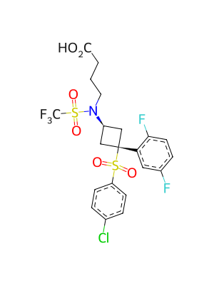 O=C(O)CCCN([C@H]1C[C@](c2cc(F)ccc2F)(S(=O)(=O)c2ccc(Cl)cc2)C1)S(=O)(=O)C(F)(F)F